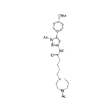 COc1ccc(-c2cc(NC(=O)CCCCN3CCCN(C(C)=O)CC3)nn2C(C)=O)cc1